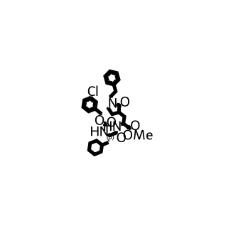 COC(=O)C(CC1CCN(CCc2ccccc2)C1=O)NC(=O)[C@H](CC1CCCCC1)NC(=O)OCc1cccc(Cl)c1